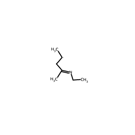 C[CH]CC(C)=NCC